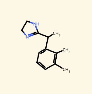 Cc1cccc(C(C)C2=NCCN2)c1C